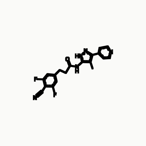 Cc1c(-c2ccncc2)n[nH]c1NC(=O)CCc1cc(F)c(C#N)c(F)c1